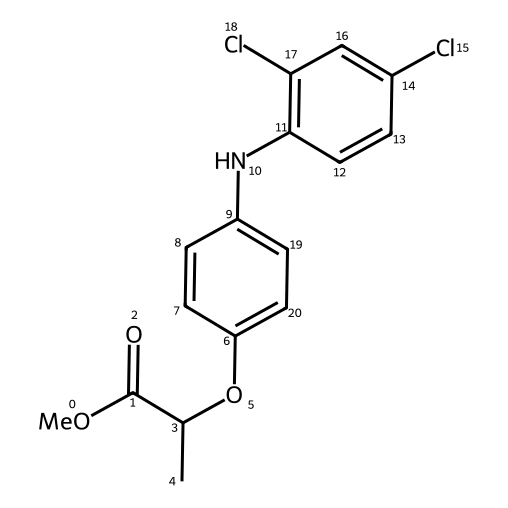 COC(=O)C(C)Oc1ccc(Nc2ccc(Cl)cc2Cl)cc1